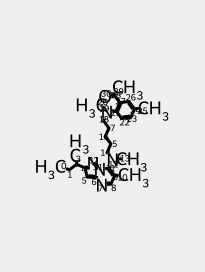 CCC(C)c1cc2ncc(C)c(N(C)CCCCCN(C)c3ccc(C)cc3C(C)=O)n2n1